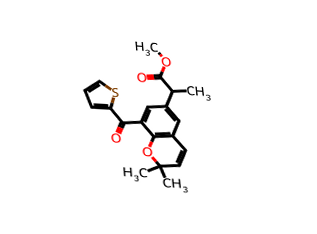 COC(=O)C(C)c1cc2c(c(C(=O)c3cccs3)c1)OC(C)(C)C=C2